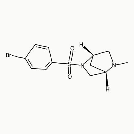 CN1C[C@@H]2C[C@H]1CN2S(=O)(=O)c1ccc(Br)cc1